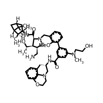 COc1c(CN2O[C@@H](CN)[C@@H]([C@H](C)O)[C@H]2C(=O)N[C@H]2C[C@H]3C[C@@H]([C@@H]2C)C3(C)C)cccc1-c1cc(C(=O)N[C@@H](Cc2ccccc2)CN2CCOCC2)cc(N(C)CCO)c1